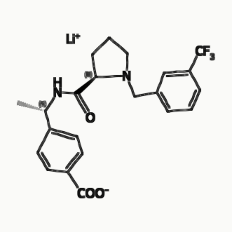 C[C@H](NC(=O)[C@H]1CCCN1Cc1cccc(C(F)(F)F)c1)c1ccc(C(=O)[O-])cc1.[Li+]